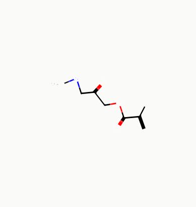 C=C(C)C(=O)OCC(=O)CNOC